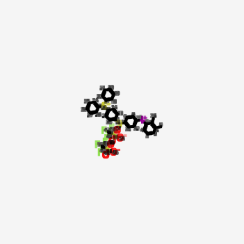 Cc1cccc([I+]c2ccc(Sc3ccc([S+](c4ccccc4)c4ccccc4)cc3)cc2)c1C.O=S(=O)([O-])C(F)(F)F.O=S(=O)([O-])C(F)(F)F